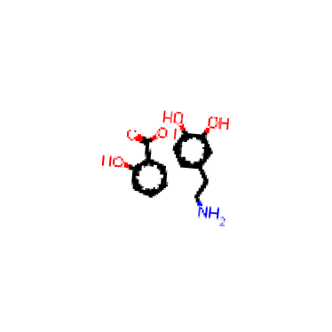 NCCc1ccc(O)c(O)c1.O=C(O)c1ccccc1O